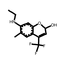 CCNc1cc2c(cc1C)C(C(F)(F)F)=CC(O)O2